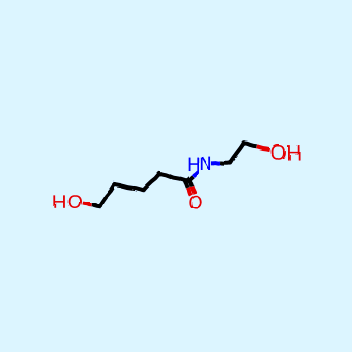 O=C(CCCCO)NCCO